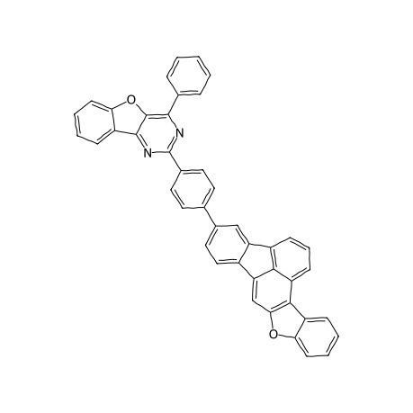 c1ccc(-c2nc(-c3ccc(-c4ccc5c(c4)-c4cccc6c4c-5cc4oc5ccccc5c46)cc3)nc3c2oc2ccccc23)cc1